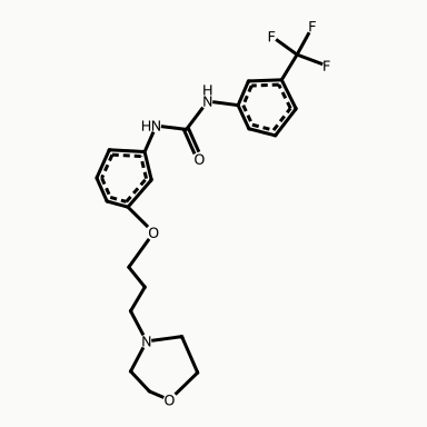 O=C(Nc1cccc(OCCCN2CCOCC2)c1)Nc1cccc(C(F)(F)F)c1